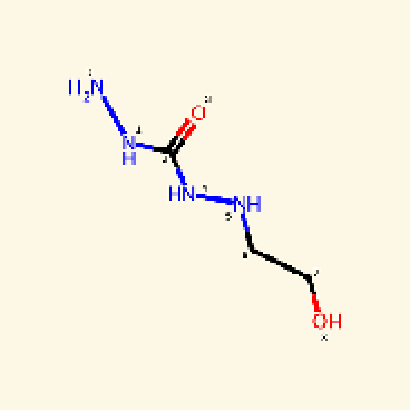 NNC(=O)NNCCO